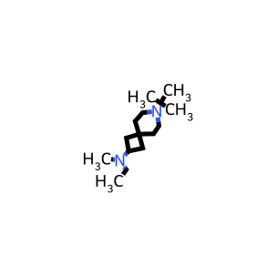 CCN(C)C1CC2(CCN(C(C)(C)C)CC2)C1